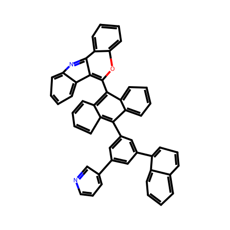 c1cncc(-c2cc(-c3cccc4ccccc34)cc(-c3c4ccccc4c(-c4oc5ccccc5c5nc6ccccc6c4-5)c4ccccc34)c2)c1